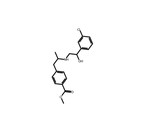 COC(=O)c1ccc(CC(C)NCC(O)c2cccc(Cl)c2)cc1